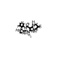 CC1NCNN1c1c(F)cncc1NC(=O)C1C(N)NN2CC(F)CNC12